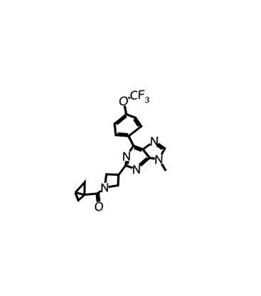 Cn1cnc2c(-c3ccc(OC(F)(F)F)cc3)nc(C3CN(C(=O)C45CC4C5)C3)nc21